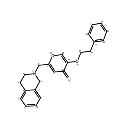 O=c1cc(CN2CCc3ccccc3C2)occ1OCCc1ccccc1